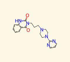 O=c1[nH]c2ccccc2c(=O)n1CCCN1CCN(c2ncccn2)CC1